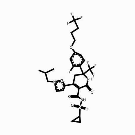 CC(C)Cn1ccc(C2=C(C(=O)NS(=O)(=O)C3CC3)C(=O)NC(c3ccc(OCCCC(F)(F)F)cc3F)(C(F)(F)F)C2)n1